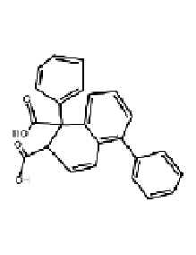 O=C(O)C1C=Cc2c(-c3ccccc3)cccc2C1(C(=O)O)c1ccccc1